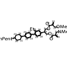 C=C(CNC)C(=O)OCC(COC(=O)C(=C)COC)c1ccc(-c2ccc(C3CCC(CCCCC)CC3)cc2)c(CC)c1